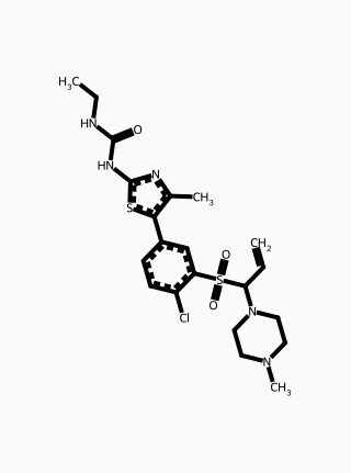 C=CC(N1CCN(C)CC1)S(=O)(=O)c1cc(-c2sc(NC(=O)NCC)nc2C)ccc1Cl